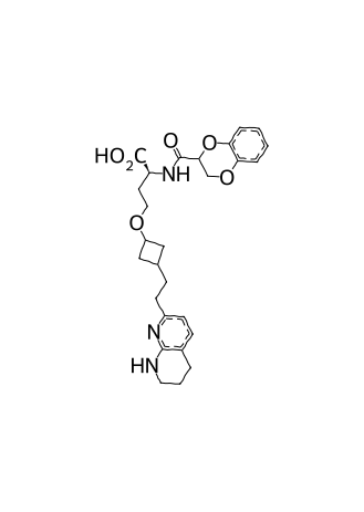 O=C(N[C@@H](CCOC1CC(CCc2ccc3c(n2)NCCC3)C1)C(=O)O)C1COc2ccccc2O1